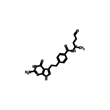 C[C@H](CCC=O)NC(=O)c1ccc(CCc2c[nH]c3nc(N)[nH]c(=O)c23)cc1